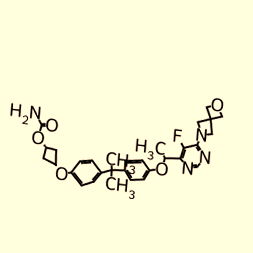 CC(Oc1ccc(C(C)(C)c2ccc(O[C@H]3C[C@H](OC(N)=O)C3)cc2)cc1)c1ncnc(N2CC3(COC3)C2)c1F